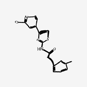 Cc1cccc(CC(=O)Nc2nc(-c3ccnc(Cl)c3)cs2)c1